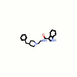 O=C(NCCN1CCC(Cc2ccccc2)CC1)c1c[nH]c2ccccc12